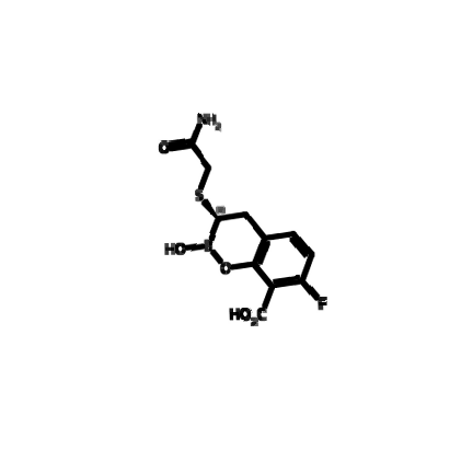 NC(=O)CS[C@H]1Cc2ccc(F)c(C(=O)O)c2OB1O